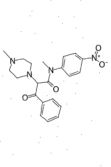 CN1CCN(C(C(=O)c2ccccc2)C(=O)N(C)c2ccc([N+](=O)[O-])cc2)CC1